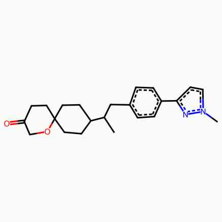 CC(Cc1ccc(-c2ccn(C)n2)cc1)C1CCC2(CCC(=O)CO2)CC1